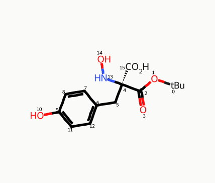 CC(C)(C)OC(=O)[C@@](Cc1ccc(O)cc1)(NO)C(=O)O